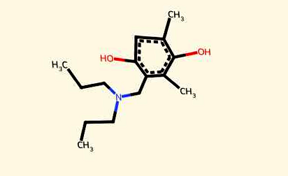 CCCN(CCC)Cc1c(O)cc(C)c(O)c1C